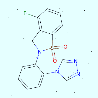 O=S1(=O)c2cccc(F)c2CN1c1ccccc1-n1cnnc1